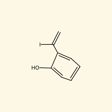 C=C(I)c1ccccc1O